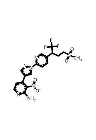 CS(=O)(=O)CCC(c1ccc(-n2cc(-c3ccnc(N)c3[N+](=O)[O-])cn2)nc1)C(F)(F)F